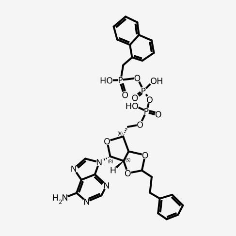 Nc1ncnc2c1ncn2[C@@H]1O[C@H](COP(=O)(O)OP(=O)(O)OP(=O)(O)Cc2cccc3ccccc23)C2OC(CCc3ccccc3)O[C@@H]21